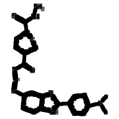 CN(C)c1ccc(-c2nc3cc(N=[N+]=NC(=O)c4ccc(C(=O)NN)cc4)ccc3[nH]2)cc1